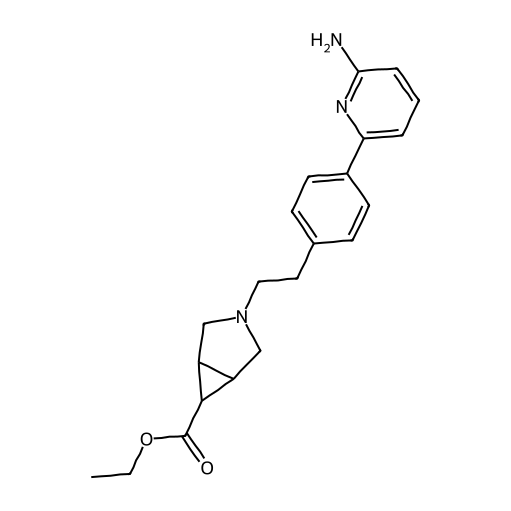 CCOC(=O)C1C2CN(CCc3ccc(-c4cccc(N)n4)cc3)CC21